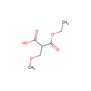 CCOC(=O)C(COC)C(=O)O